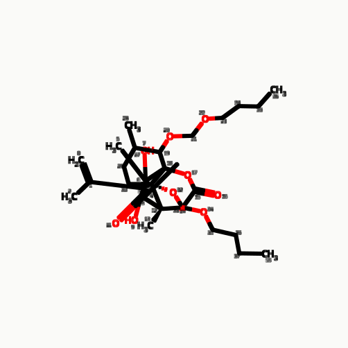 C=C(C)C1=C(C)C2(O)C(O)(C1=O)[C@@]1(C)CC(=O)OC23C(OCOCCCC)C(C)CC[C@@]31OCOCCCC